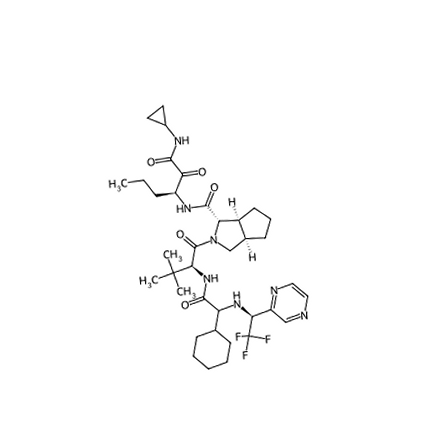 CCC[C@H](NC(=O)[C@@H]1[C@H]2CCC[C@H]2CN1C(=O)[C@@H](NC(=O)C(N[C@@H](c1cnccn1)C(F)(F)F)C1CCCCC1)C(C)(C)C)C(=O)C(=O)NC1CC1